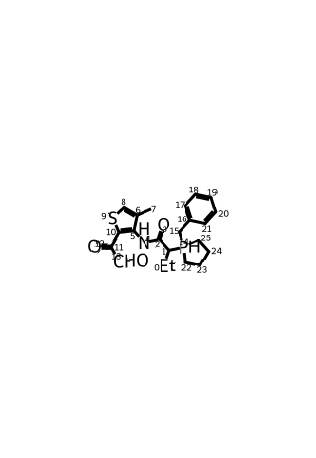 CCC(C(=O)Nc1c(C)csc1C(=O)C=O)[PH]1(Cc2ccccc2)CCCC1